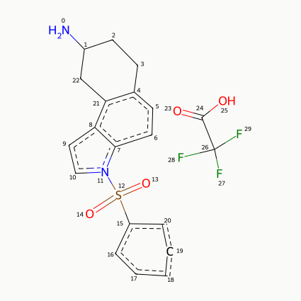 NC1CCc2ccc3c(ccn3S(=O)(=O)c3ccccc3)c2C1.O=C(O)C(F)(F)F